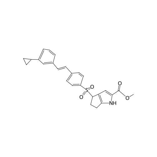 COC(=O)c1cc2c([nH]1)CCC2S(=O)(=O)c1ccc(/C=C/c2cccc(C3CC3)c2)cc1